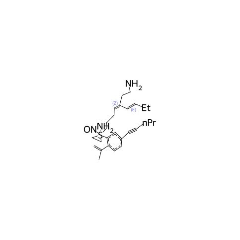 C=C(C)c1ccc(C#CCCC)cc1S1(N)(CCC/C=C(\C=C\CC)CCN)(N=O)CC1